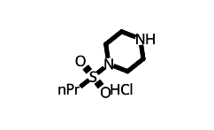 CCCS(=O)(=O)N1CCNCC1.Cl